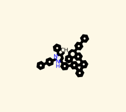 CCC1C=C(c2cccc(-c3ccc4c(c3)c3ccccc3c3cccc(-c5ccc6c(c5)-c5ccccc5CCC6c5ccc(-c6ccccc6)cc5)c34)c2)NC(c2ccc(-c3ccccc3)cc2)N=C1c1ccccc1